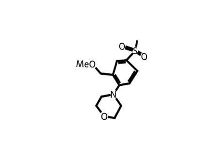 COCc1cc(S(C)(=O)=O)ccc1N1CCOCC1